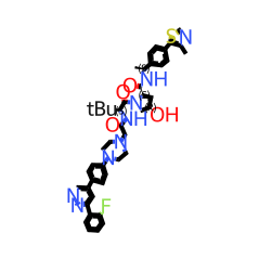 Cc1ncsc1-c1ccc([C@H](C)NC(=O)[C@@H]2C[C@@H](O)CN2C(=O)[C@@H](NC(=O)CN2CCN(c3ccc(-c4cnnc(-c5ccccc5F)c4)cc3)CC2)C(C)(C)C)cc1